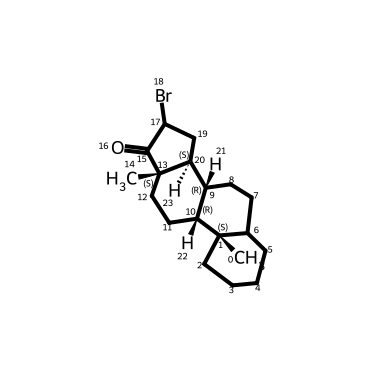 C[C@]12CCCCC1CC[C@@H]1[C@H]2CC[C@]2(C)C(=O)C(Br)C[C@@H]12